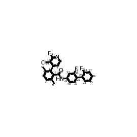 Cc1ccc(C)c(-c2ccnc(F)c2Cl)c1C(=O)Nc1ccc(-c2ccccc2F)c(F)c1